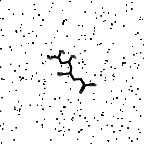 COC(=O)CCC(C)CC(C)CN(C)C